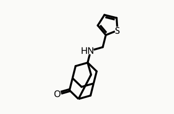 O=C1C2CC3CC1CC(NCc1cccs1)(C3)C2